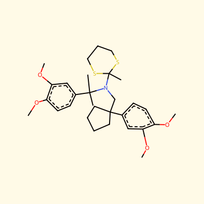 COc1ccc(C2(CN(C3(C)SCCCS3)C(C)(C)c3ccc(OC)c(OC)c3)CCCC2)cc1OC